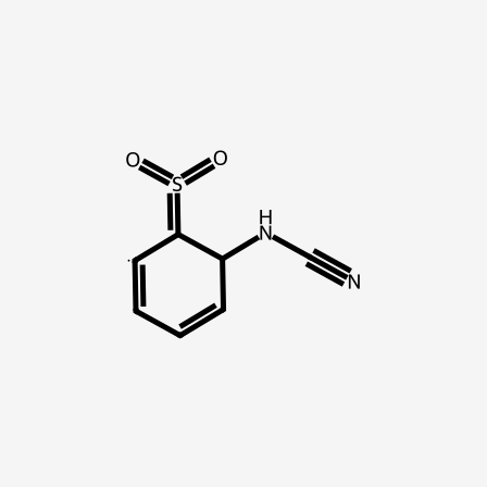 N#CNC1C=CC=[C]C1=S(=O)=O